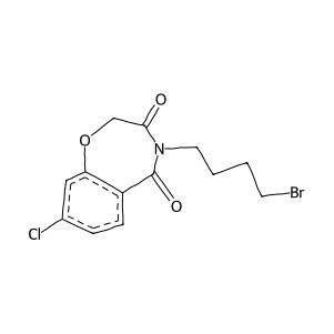 O=C1COc2cc(Cl)ccc2C(=O)N1CCCCBr